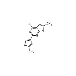 Cc1nc(-c2nc(Cl)c3cc(C)sc3n2)co1